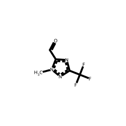 Cn1nc(C(F)(F)F)nc1C=O